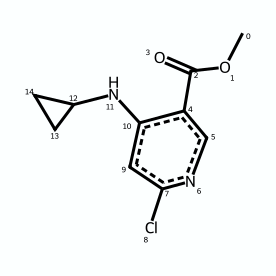 COC(=O)c1cnc(Cl)cc1NC1CC1